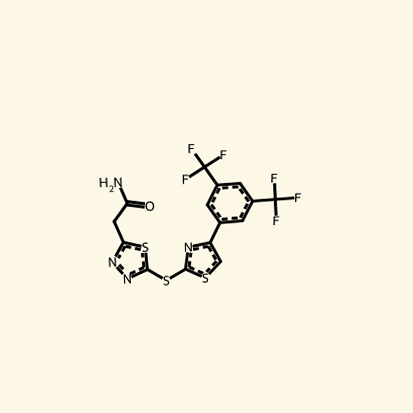 NC(=O)Cc1nnc(Sc2nc(-c3cc(C(F)(F)F)cc(C(F)(F)F)c3)cs2)s1